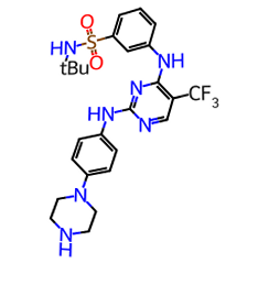 CC(C)(C)NS(=O)(=O)c1cccc(Nc2nc(Nc3ccc(N4CCNCC4)cc3)ncc2C(F)(F)F)c1